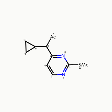 CSc1nccc(C(C(C)=O)C2CC2)n1